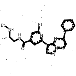 CCN[C@@H](C)CNC(=O)c1cc(CC)nc(-c2cnn3ccc(-c4ccccc4)nc23)c1